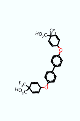 O=C(O)C1(C(F)(F)F)C=CC(Oc2ccc(-c3ccc(OC4C=CC(C(=O)O)(C(F)(F)F)C=C4)cc3)cc2)C=C1